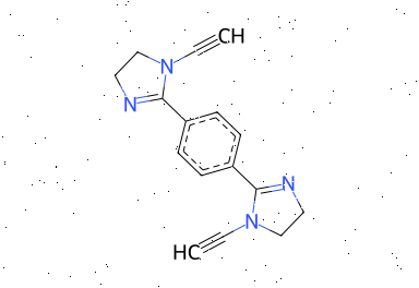 C#CN1CCN=C1c1ccc(C2=NCCN2C#C)cc1